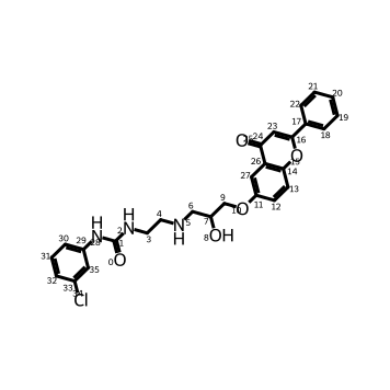 O=C(NCCNCC(O)COc1ccc2oc(-c3ccccc3)cc(=O)c2c1)Nc1cccc(Cl)c1